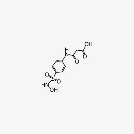 O=C(O)CC(=O)Nc1ccc(S(=O)(=O)NO)cc1